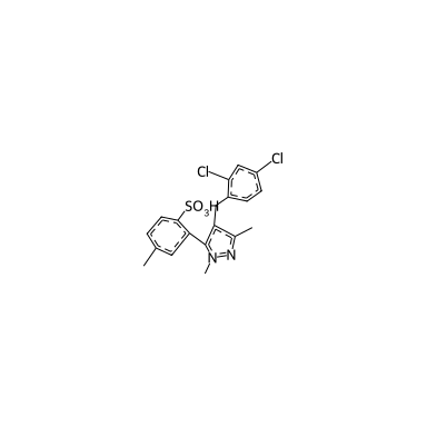 Cc1ccc(S(=O)(=O)O)c(-c2c(Cc3ccc(Cl)cc3Cl)c(C)nn2C)c1